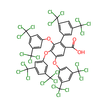 O=C(O)c1cc(Oc2cc(C(Cl)(Cl)Cl)cc(C(Cl)(Cl)Cl)c2)c(Oc2cc(C(Cl)(Cl)Cl)cc(C(Cl)(Cl)Cl)c2)c(Oc2cc(C(Cl)(Cl)Cl)cc(C(Cl)(Cl)Cl)c2)c1-c1cc(C(Cl)(Cl)Cl)cc(C(Cl)(Cl)Cl)c1